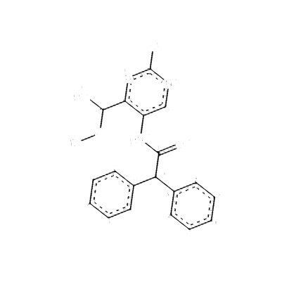 CCOC(O)c1nc(Cl)ncc1NC(=O)C(c1ccccc1)c1ccccc1